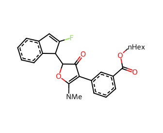 CCCCCCOC(=O)c1cccc(C2=C(NC)OC(C3C(F)=Cc4ccccc43)C2=O)c1